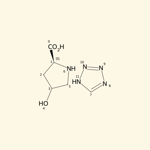 O=C(O)[C@@H]1CC(O)CN1.c1nnn[nH]1